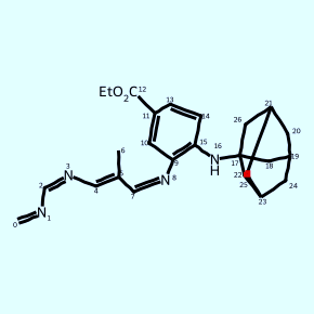 C=N\C=N/C=C(C)/C=N\c1cc(C(=O)OCC)ccc1NC12CC3CC(CC(C3)C1)C2